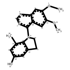 COc1cc2ncnc(N3CCc4cc(O)cc(C)c43)c2cc1OC